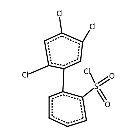 O=S(=O)(Cl)c1ccccc1-c1cc(Cl)c(Cl)cc1Cl